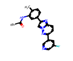 Cc1ccc(-c2cn3nc(-c4cncc(F)c4)ccc3n2)cc1NC(=O)C(C)(C)C